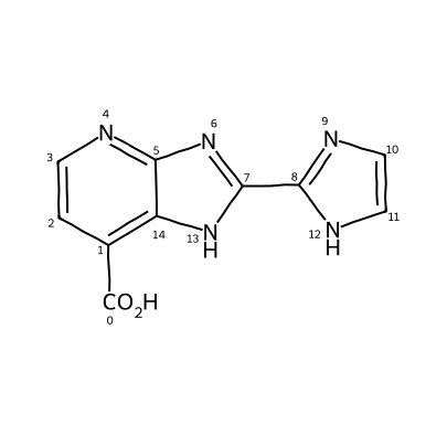 O=C(O)c1ccnc2nc(-c3ncc[nH]3)[nH]c12